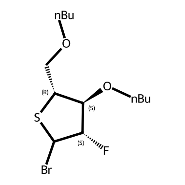 CCCCOC[C@H]1SC(Br)[C@@H](F)[C@@H]1OCCCC